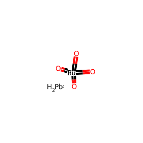 [O]=[Ru](=[O])(=[O])=[O].[PbH2]